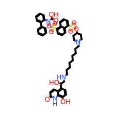 O=C(O)N(OS(=O)(=O)c1cccc2c(S(=O)(=O)OC3CCN(CCCCCCCCCNC[C@@H](O)c4ccc(O)c5[nH]c(=O)ccc45)CC3)cccc12)c1ccccc1-c1ccccc1